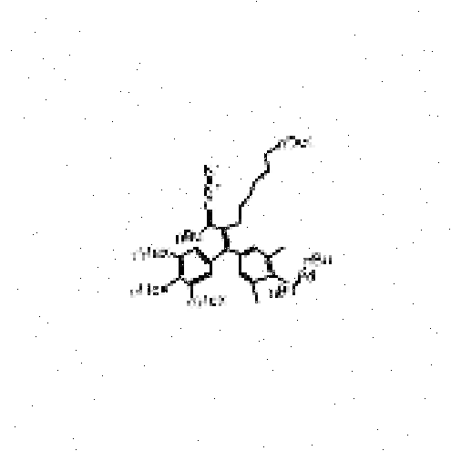 CCCCCCCCCCCCCCCCC(C(=C=[N+]=[N-])CCCC)=C(c1cc(C)c(C)c(C)c1)c1cc(CCCCCC)c(CCCCCC)c(CCCCCC)c1.CCC[CH2][Pd][CH2]CCC